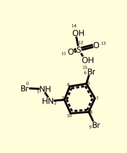 BrNNc1cc(Br)cc(Br)c1.O=S(=O)(O)O